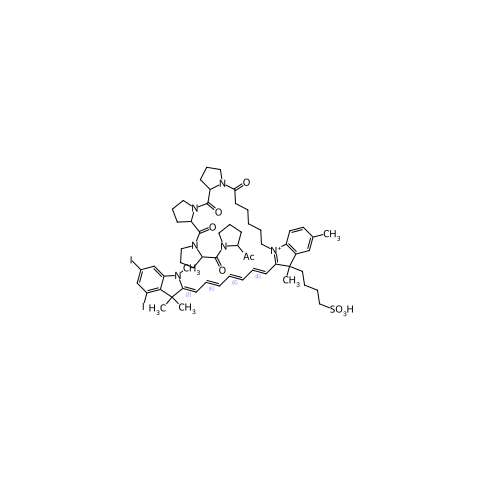 CC(=O)C1CCCN1C(=O)C1CCCN1C(=O)C1CCCN1C(=O)C1CCCN1C(=O)CCCCC[N+]1=C(/C=C/C=C/C=C/C=C2\N(C)c3cc(I)cc(I)c3C2(C)C)C(C)(CCCCS(=O)(=O)O)c2cc(C)ccc21